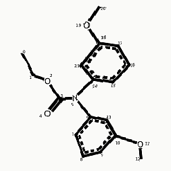 CCOC(=O)N(c1cccc(OC)c1)c1cccc(OC)c1